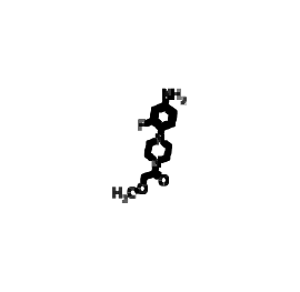 COCC(=O)N1CCN(c2ccc(N)cc2F)CC1